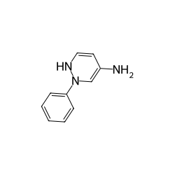 NC1=CN(c2ccccc2)NC=C1